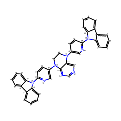 c1ccc2c(c1)c1ccccc1n2-c1ccc(N2CCN(c3ccc(-n4c5ccccc5c5ccccc54)nc3)c3ncncc32)cn1